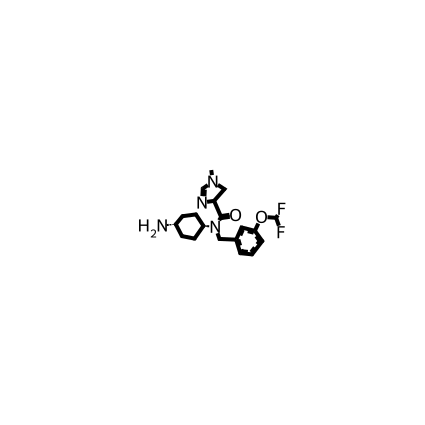 CN1C=NC(C(=O)N(Cc2cccc(OC(F)F)c2)[C@H]2CC[C@@H](N)CC2)C1